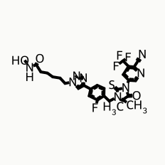 CC1(C)C(=O)N(c2cnc(C#N)c(C(F)(F)F)c2)C(=S)N1Cc1ccc(-c2cn(CCCCCC(=O)NO)nn2)cc1F